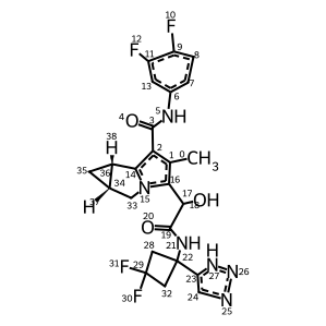 Cc1c(C(=O)Nc2ccc(F)c(F)c2)c2n(c1C(O)C(=O)NC1(c3cnn[nH]3)CC(F)(F)C1)C[C@@H]1C[C@H]21